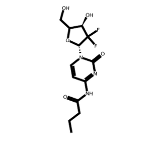 CCCC(=O)Nc1ccn([C@@H]2OC(CO)[C@@H](O)C2(F)F)c(=O)n1